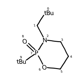 CC(C)(C)CN1CCCOP1(=O)C(C)(C)C